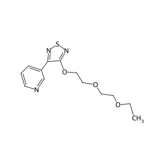 CCOCCOCCOc1nsnc1-c1cccnc1